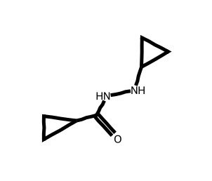 O=C(NNC1CC1)C1CC1